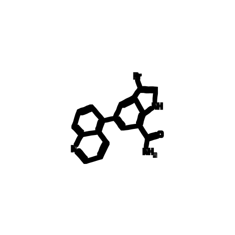 NC(=O)c1cc(-c2cccc3ncccc23)cc2c(Br)c[nH]c12